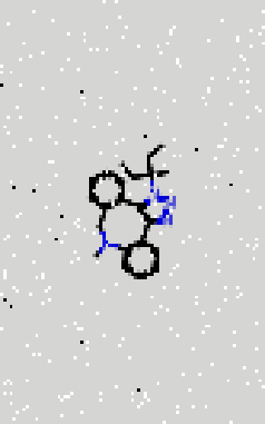 CCC(C)(CC)n1nnc2c1-c1ccccc1CN(C)c1ccccc1-2